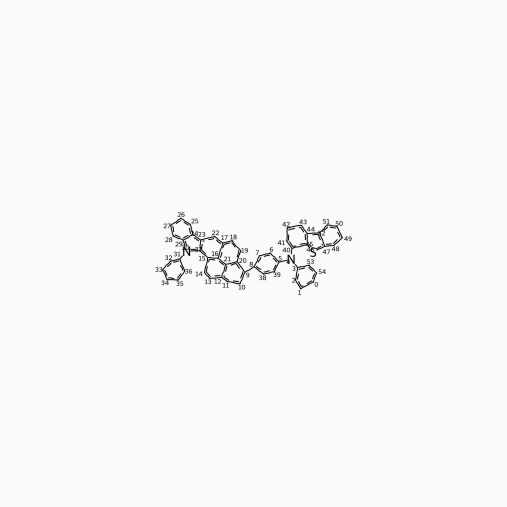 c1ccc(N(c2ccc(-c3ccc4ccc5c6c(ccc3c46)cc3c4ccccc4n(-c4ccccc4)c35)cc2)c2cccc3c2sc2ccccc23)cc1